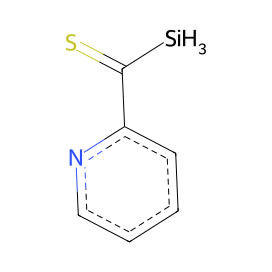 [SiH3]C(=S)c1ccccn1